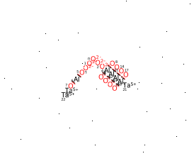 [O-2].[O-2].[O-2].[O-2].[O-2].[O]=[Al][O-].[O]=[Al][O-].[O]=[Al][O-].[O]=[Al][O-].[O]=[Al][O-].[Ta+5].[Ta+5].[Ta+5]